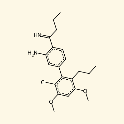 CCCC(=N)c1ccc(-c2c(Cl)c(OC)cc(OC)c2CCC)cc1N